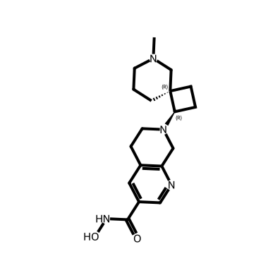 CN1CCC[C@@]2(CC[C@H]2N2CCc3cc(C(=O)NO)cnc3C2)C1